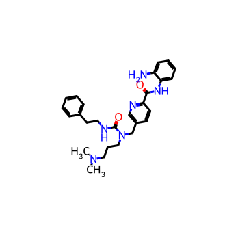 CN(C)CCCN(Cc1ccc(C(=O)Nc2ccccc2N)nc1)C(=O)NCCc1ccccc1